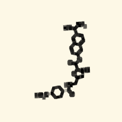 Cl.N=C(N)c1ccc2cc(OC(=O)c3ccc(CNC(=O)[C@H]4CC[C@@H](C(=O)O)CC4)o3)ccc2c1